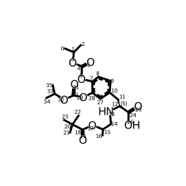 CC(C)OC(=O)Oc1ccc(C[C@H](NCC(C)OC(=O)C(C)(C)C)C(=O)O)cc1OC(=O)OC(C)C